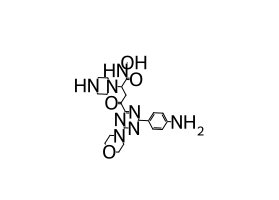 Nc1ccc(-c2nc(C(=O)CC(C(=O)NO)N3CCNCC3)nc(N3CCOCC3)n2)cc1